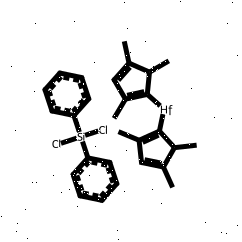 CC1=CC(C)=[C]([Hf][C]2=C(C)C=C(C)C2C)C1C.Cl[Si](Cl)(c1ccccc1)c1ccccc1